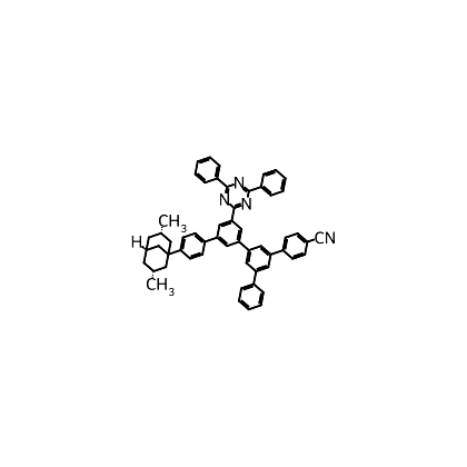 C[C@@H]1C[C@@H]2C[C@H](C)CC(c3ccc(-c4cc(-c5cc(-c6ccccc6)cc(-c6ccc(C#N)cc6)c5)cc(-c5nc(-c6ccccc6)nc(-c6ccccc6)n5)c4)cc3)(C1)C2